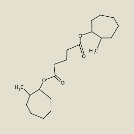 CC1CCCCCC1OC(=O)CCCC(=O)OC1CCCCCC1C